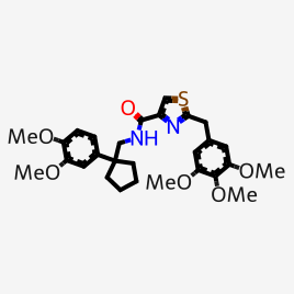 COc1ccc(C2(CNC(=O)c3csc(Cc4cc(OC)c(OC)c(OC)c4)n3)CCCC2)cc1OC